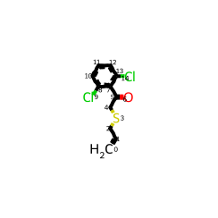 C=CCSCC(=O)c1c(Cl)cccc1Cl